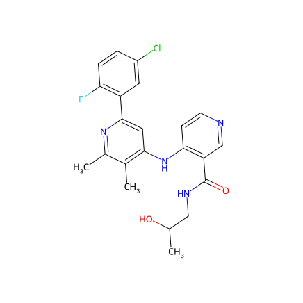 Cc1nc(-c2cc(Cl)ccc2F)cc(Nc2ccncc2C(=O)NCC(C)O)c1C